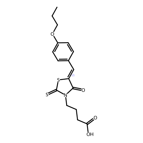 CCCOc1ccc(/C=C2\SC(=S)N(CCCC(=O)O)C2=O)cc1